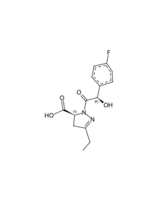 CCC1=NN(C(=O)[C@H](O)c2ccc(F)cc2)[C@H](C(=O)O)C1